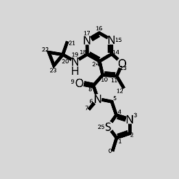 Cc1cnc(CN(C)C(=O)c2c(C)oc3ncnc(NC4(C)CC4)c23)s1